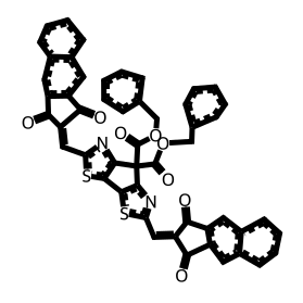 O=C1C(=Cc2nc3c(s2)-c2sc(C=C4C(=O)c5cc6ccccc6cc5C4=O)nc2C3(C(=O)OCc2ccccc2)C(=O)OCc2ccccc2)C(=O)c2cc3ccccc3cc21